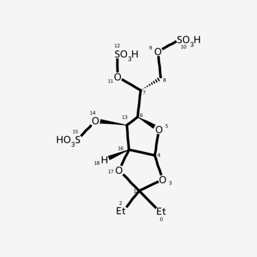 CCC1(CC)OC2O[C@H]([C@@H](COS(=O)(=O)O)OS(=O)(=O)O)[C@H](OS(=O)(=O)O)[C@H]2O1